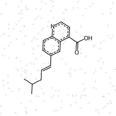 CC(C)CC=Cc1ccc2nccc(C(=O)O)c2c1